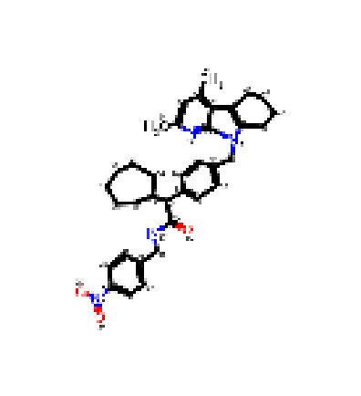 Cc1cc(C)c2c3c(n(Cc4ccc(C(C(=O)NCc5ccc([N+](=O)[O-])cc5)C5CCCCCC5)cc4)c2n1)CCCC3